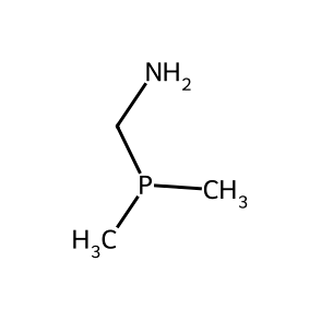 CP(C)CN